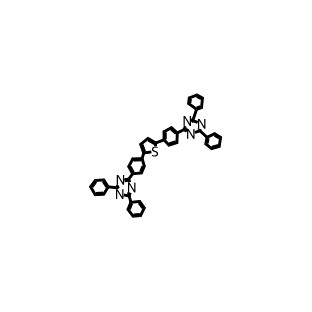 c1ccc(-c2nc(-c3ccccc3)nc(-c3ccc(-c4ccc(-c5ccc(-c6nc(-c7ccccc7)nc(-c7ccccc7)n6)cc5)s4)cc3)n2)cc1